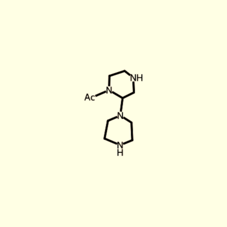 CC(=O)N1CCNCC1N1CCNCC1